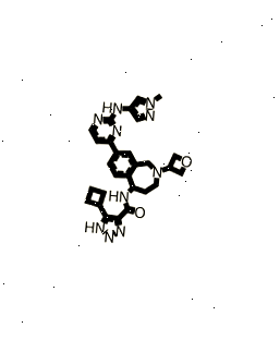 Cn1cc(Nc2nccc(-c3ccc4c(c3)CN(C3COC3)CCC4NC(=O)c3nn[nH]c3C3CCC3)n2)cn1